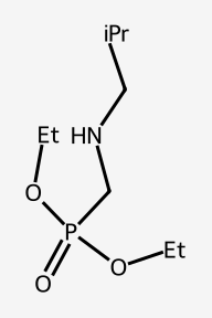 CCOP(=O)(CNCC(C)C)OCC